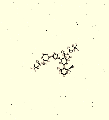 CC(C)(C)OC(=O)NC1CCCN(c2ccn(-c3cc(-c4c(F)cccc4C#N)nc4c3C(=O)N(C(=O)OC(C)(C)C)C4)n2)C1